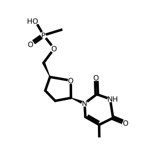 Cc1cn([C@H]2CC[C@@H](COP(C)(=O)O)O2)c(=O)[nH]c1=O